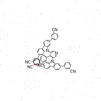 N#Cc1cccc(-c2ccc3c4ccc(-c5cccc(C#N)c5)cc4n(-c4cncc(-n5c6cc(-c7cccc(C#N)c7)ccc6c6ccc(-c7cccc(C#N)c7)cc65)c4-c4cccc(C#N)c4)c3c2)c1